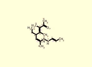 C/C=C/NN/C(C)=C\C(CC)/C(C)=C(\C)C(C)=O